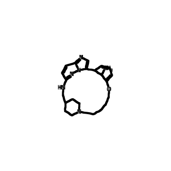 CC1C2=CC=CC1c1cnc3ccc(nn13)NCC1CCN(CCCCO2)CC1